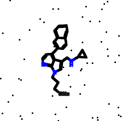 COCCCn1cc(CNC2CC2)c2c(-c3ccc4ccccc4c3)ccnc21